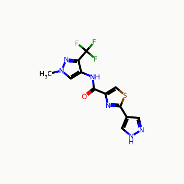 Cn1cc(NC(=O)c2csc(-c3cn[nH]c3)n2)c(C(F)(F)F)n1